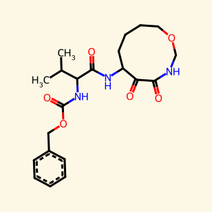 CC(C)C(NC(=O)OCc1ccccc1)C(=O)NC1CCCCOCNC(=O)C1=O